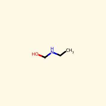 CCN[C]O